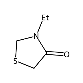 CCN1CSCC1=O